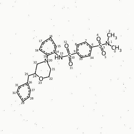 CN(C)S(=O)(=O)c1ccc(S(=O)(=O)Nc2ccccc2N2CCOC(Cc3ccccc3)C2)cc1